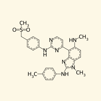 CNc1ccc2c(nc(Nc3ccc(C)cc3)n2C)c1-c1ccnc(Nc2ccc(CS(C)(=O)=O)cc2)n1